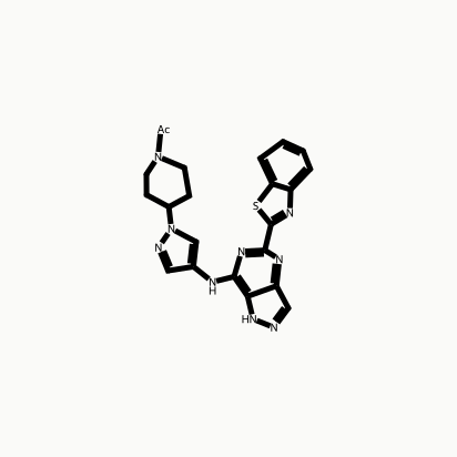 CC(=O)N1CCC(n2cc(Nc3nc(-c4nc5ccccc5s4)nc4cn[nH]c34)cn2)CC1